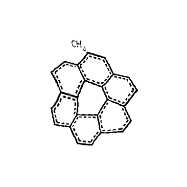 C.c1cc2ccc3ccc4ccc5ccc6ccc1c1c2c3c4c5c61